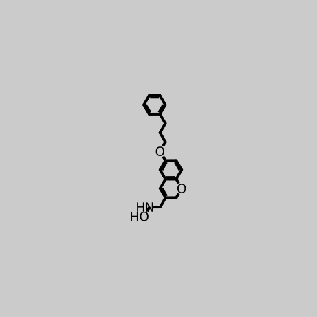 ONCC1=Cc2cc(OCCCc3ccccc3)ccc2OC1